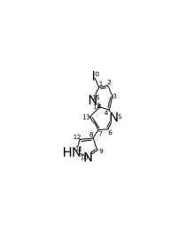 Ic1ccc2ncc(-c3cn[nH]c3)cc2n1